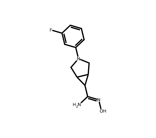 N/C(=N\O)C1C2CN(c3cccc(F)c3)CC21